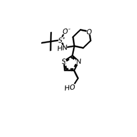 CC(C)(C)[S+]([O-])NC1(c2nc(CO)cs2)CCOCC1